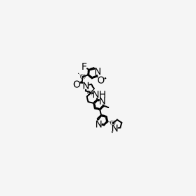 COc1cc([C@@H](C)C(=O)N2CC[C@@]3(CCc4cc(-c5cncc([C@@H]6CCCN6C)c5)c(C)nc4N3)C2)c(F)cn1